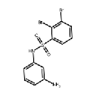 Nc1cccc(NS(=O)(=O)c2cccc(Br)c2Br)c1